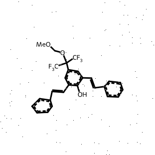 COCOC(c1cc(C=Cc2ccccc2)c(O)c(C=Cc2ccccc2)c1)(C(F)(F)F)C(F)(F)F